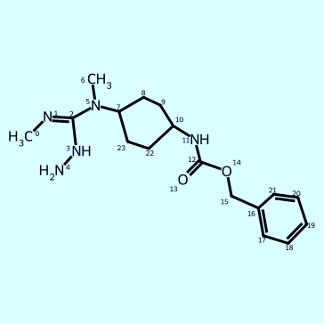 CN=C(NN)N(C)C1CCC(NC(=O)OCc2ccccc2)CC1